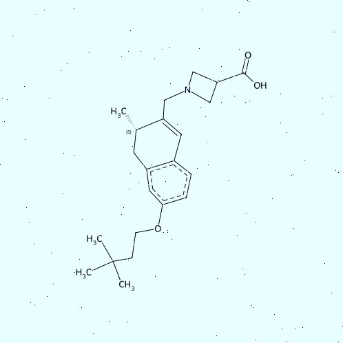 C[C@H]1Cc2cc(OCCC(C)(C)C)ccc2C=C1CN1CC(C(=O)O)C1